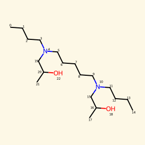 CCCCN(CCCCCN(CCCC)CC(C)O)CC(C)O